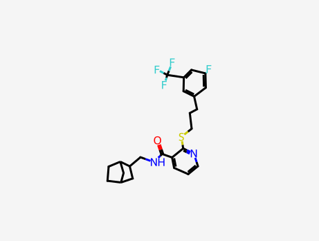 O=C(NCC1CC2CCC1C2)c1cccnc1SCCCc1cc(F)cc(C(F)(F)F)c1